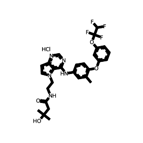 Cc1cc(Nc2ncnc3ccn(CCNC(=O)CC(C)(C)O)c23)ccc1Oc1cccc(OC(F)(F)C(F)F)c1.Cl